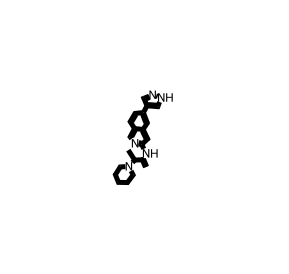 C=C(Nc1cc2cc(-c3cn[nH]c3)ccc2cn1)C(C)N1CCCCC1